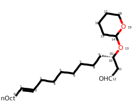 CCCCCCCCC=CCCCCCCC[C@@H](CC=O)OC1CCCCO1